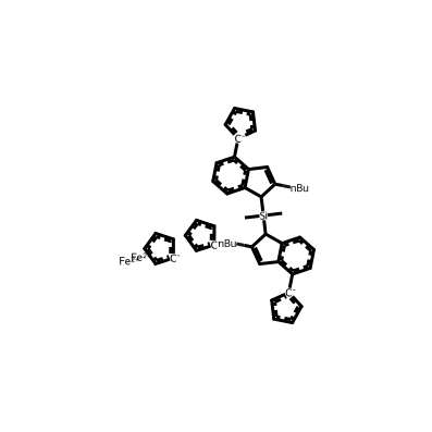 CCCCC1=Cc2c(-[c-]3cccc3)cccc2C1[Si](C)(C)C1C(CCCC)=Cc2c(-[c-]3cccc3)cccc21.[Fe+2].[Fe+2].c1cc[cH-]c1.c1cc[cH-]c1